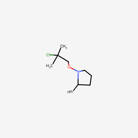 CCCC1CCCN1OCC(C)(C)Cl